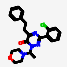 CC(N1CCOCC1)n1nc(-c2ccccc2Cl)nc(CCc2ccccc2)c1=O